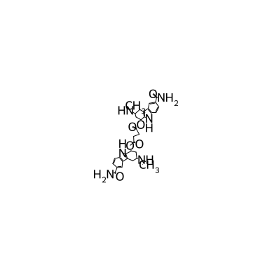 CNC1Cc2c([nH]c3ccc(C(N)=O)cc23)C(OC(=O)CCC(=O)OC2CC(NC)Cc3c2[nH]c2ccc(C(N)=O)cc32)C1